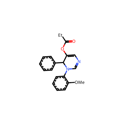 CCC(=O)OC1=CN=CN(c2ccccc2OC)C1c1ccccc1